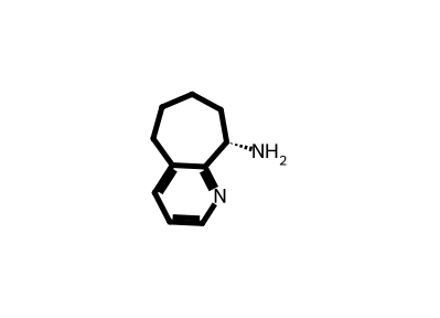 N[C@H]1CCCCc2cccnc21